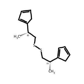 C[C@H](CSSC[C@H](C)C1=CC=CC1)C1=CC=CC1